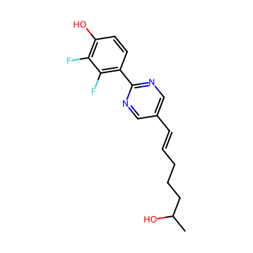 CC(O)CCCC=Cc1cnc(-c2ccc(O)c(F)c2F)nc1